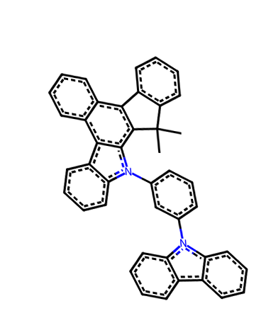 CC1(C)c2ccccc2-c2c1c1c(c3ccccc23)c2ccccc2n1-c1cccc(-n2c3ccccc3c3ccccc32)c1